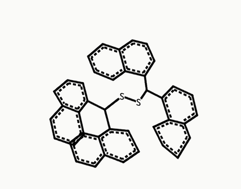 c1ccc2c(C(SSC(c3cccc4ccccc34)c3cccc4ccccc34)c3cccc4ccccc34)cccc2c1